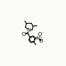 Cc1ccc(C(=O)N2CC(C)CC(C)C2)cc1[N+](=O)[O-]